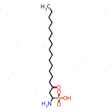 CCCCCCCCCCCCCCCC(=O)CC(N)S(=O)(=O)O